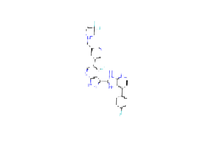 Fc1ccc(-c2ccnc3[nH]c(-c4n[nH]c5ncc(-c6cncc(CN7CCC(F)(F)C7)c6)c(F)c45)nc23)cc1